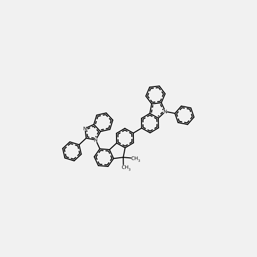 CC1(C)c2cc(-c3ccc4c(c3)c3ccccc3n4-c3ccccc3)ccc2-c2c(-n3c(-c4ccccc4)nc4ccccc43)cccc21